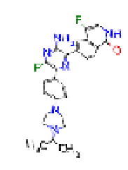 CC(C)N1CCN(c2ccc(-c3nc(-c4ccc5c(=O)[nH]cc(F)c5c4)c(N)nc3F)cc2)CC1